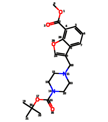 COC(=O)c1cccc2c(CN3CCN(C(=O)OC(C)(C)C)CC3)coc12